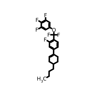 CCCCC1CC=C(c2ccc(C(F)(F)Oc3cc(F)c(F)c(F)c3)c(F)c2)CC1